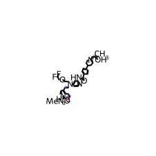 C/C=C\c1c(/C=C/N(CCOCC(F)F)c2ccnc(NC(=O)c3ccc(C4CCN(C[C@H](C)O)CC4)cc3)c2)ccn1C(=O)NC